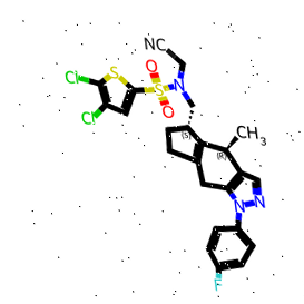 C[C@@H]1C2=C(CC[C@@H]2CN(CC#N)S(=O)(=O)c2cc(Cl)c(Cl)s2)Cc2c1cnn2-c1ccc(F)cc1